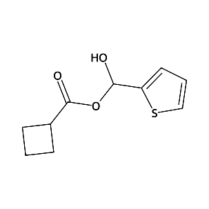 O=C(OC(O)c1cccs1)C1CCC1